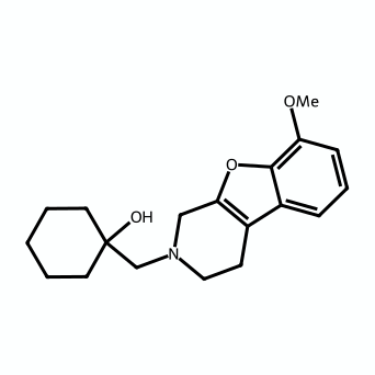 COc1cccc2c3c(oc12)CN(CC1(O)CCCCC1)CC3